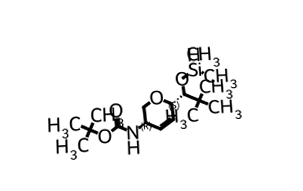 C[SiH](C)OC([C@@H]1C=C[C@@H](NC(=O)OC(C)(C)C)CO1)C(C)(C)C